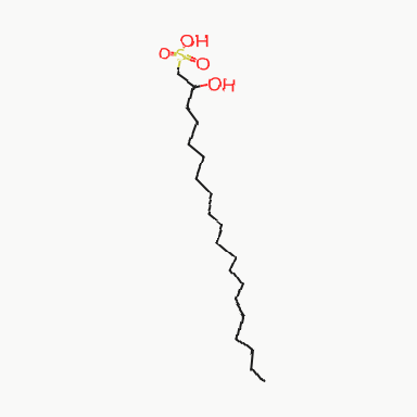 CCCCCCCCCCCCCCCCCCC(O)CS(=O)(=O)O